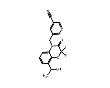 CC(O)c1cccc2c1OC(F)(F)C(=O)N2Cc1cncc(C#N)c1